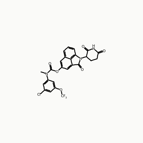 CN(C(=O)Oc1cc2c3c(cccc3c1)N(C1CCC(=O)NC1=O)C2=O)c1cc(Cl)cc(OC(F)(F)F)c1